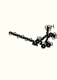 C=C(/C=C(/C=C/C=C/C=C1/N(CCCS(=O)(=O)O)c2ccc(S(=O)(=O)O)cc2C1(C)CCCC(=O)ON1C(=O)CCC1=O)c1cc2c(cc1O)N(CCOCCOCCOCCOCCOCCOC)C(C)(C)C=C2C)c1ccccc1